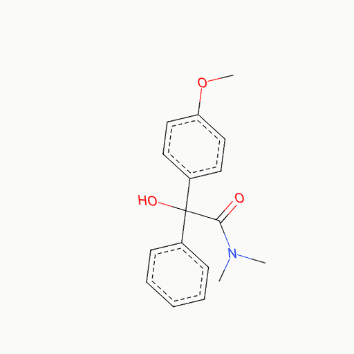 COc1ccc(C(O)(C(=O)N(C)C)c2ccccc2)cc1